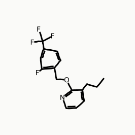 CCCc1cccnc1OCc1ccc(C(F)(F)F)cc1F